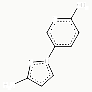 Cc1ccc(-n2ccc(N)n2)cn1